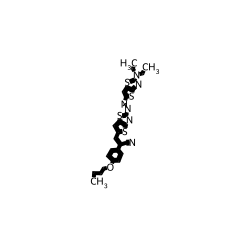 CCCCOc1ccc(/C(C#N)=C/c2cc3sc(/N=N/c4cc5sc(N(CC)CC)nc5s4)nc3s2)cc1